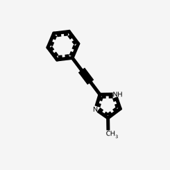 Cc1c[nH]c(C#Cc2ccccc2)n1